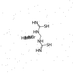 Br.Br.Br.N=C(S)NCNC(=N)S